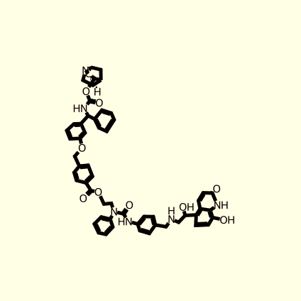 O=C(NC(c1ccccc1)c1cccc(OCc2ccc(C(=O)OCCN(C(=O)Nc3ccc(CNCC(O)c4ccc(O)c5[nH]c(=O)ccc45)cc3)c3ccccc3)cc2)c1)O[C@H]1CN2CCC1CC2